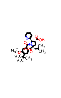 COc1cc(C(=O)N2[C@@H](c3ccccn3)[C@H](C(=O)O)C[C@@]2(CC(C)C)C(=O)O)ccc1C(C)(C)C